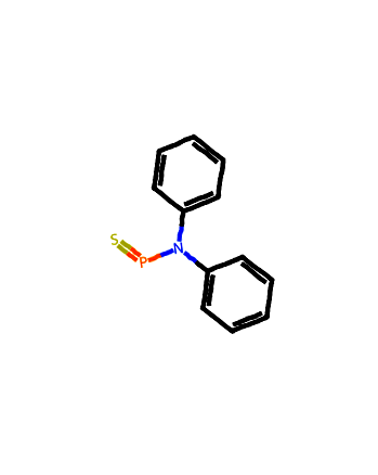 S=PN(c1ccccc1)c1ccccc1